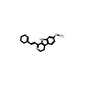 COc1ccc2c3c([nH]c2c1)C(/C=C/C1=CCCCC1)=NCC3